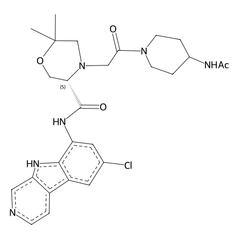 CC(=O)NC1CCN(C(=O)CN2CC(C)(C)OC[C@H]2C(=O)Nc2cc(Cl)cc3c2[nH]c2cnccc23)CC1